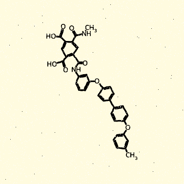 CNC(=O)c1cc(C(=O)Nc2cccc(Oc3ccc(-c4ccc(Oc5cccc(C)c5)cc4)cc3)c2)c(C(=O)O)cc1C(=O)O